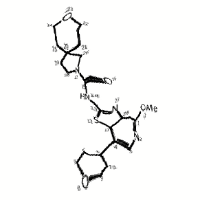 COC1=NC=C(C2CCOCC2)C2SC(NC(=O)N3CCC4(CCOCC4)C3)=NC12